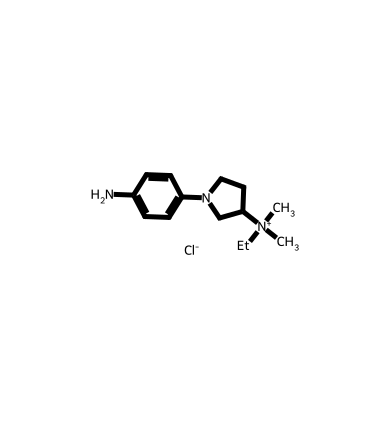 CC[N+](C)(C)C1CCN(c2ccc(N)cc2)C1.[Cl-]